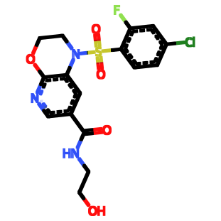 O=C(NCCO)c1cnc2c(c1)N(S(=O)(=O)c1ccc(Cl)cc1F)CCO2